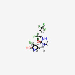 CCN(C(=O)N[C@@H](CCC(F)(F)F)C(F)(F)F)[C@H](C)c1cnc(O)c(Br)c1